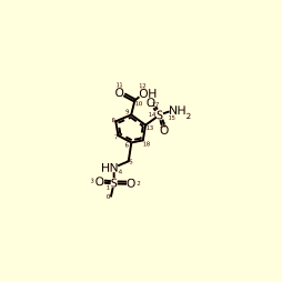 CS(=O)(=O)NCc1ccc(C(=O)O)c(S(N)(=O)=O)c1